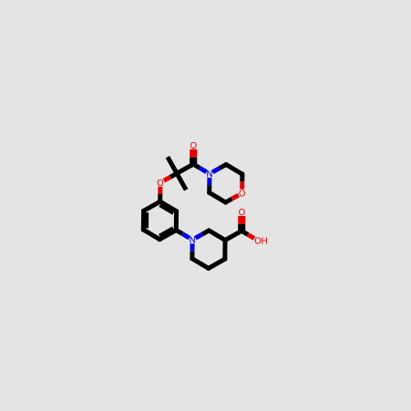 CC(C)(Oc1cccc(N2CCCC(C(=O)O)C2)c1)C(=O)N1CCOCC1